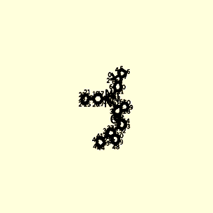 CC1(C)c2ccccc2-c2ccc(-c3nc(-c4ccc(-c5ccccc5)cc4)nc(-c4cc5oc6c(-c7ccc(-c8ccccc8)c8ccccc78)cccc6c5c5ccccc45)n3)cc21